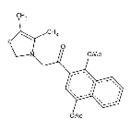 COc1c(C(=O)CN2CSC(C)=C2C)cc(OC(C)=O)c2ccccc12